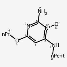 CCCCCNc1cc(OCCC)nc(N)[n+]1[O-]